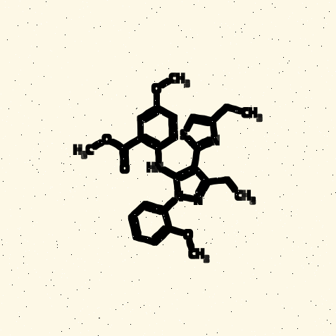 CCc1csc(-c2c(CC)nn(-c3ccccc3OC)c2Nc2ccc(OC)cc2C(=O)OC)n1